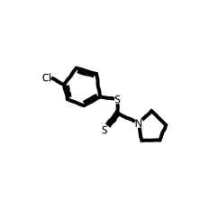 S=C(Sc1ccc(Cl)cc1)N1CCCC1